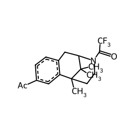 CC(=O)c1ccc2c(c1)C1(C)CCN(C(=O)C(F)(F)F)C(C2)C1(C)C